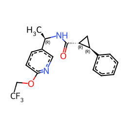 C[C@@H](NC(=O)[C@@H]1C[C@H]1c1ccccc1)c1ccc(OCC(F)(F)F)nc1